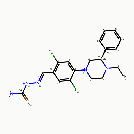 CC(C)CN1CCN(c2cc(F)c(/C=N/NC(N)=S)cc2F)C[C@H]1c1ccccc1